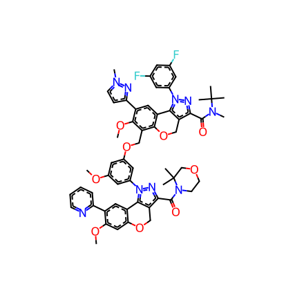 COc1cc(OCc2c(OC)c(-c3ccn(C)n3)cc3c2OCc2c(C(=O)N(C)C(C)(C)C)nn(-c4cc(F)cc(F)c4)c2-3)cc(-n2nc(C(=O)N3CCOCC3(C)C)c3c2-c2cc(-c4ccccn4)c(OC)cc2OC3)c1